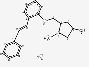 CN1CC(O)CC1COc1ccccc1C=Cc1ccccc1.Cl